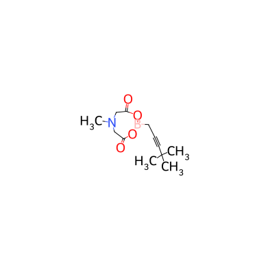 CN1CC(=O)OB(CC#CC(C)(C)C)OC(=O)C1